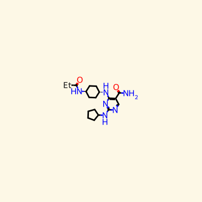 CCC(=O)N[C@H]1CC[C@H](Nc2nc(NC3CCCC3)ncc2C(N)=O)CC1